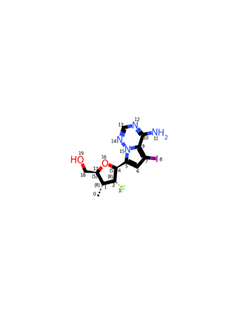 C[C@H]1[C@@H](F)[C@H](c2cc(I)c3c(N)ncnn23)O[C@@H]1CO